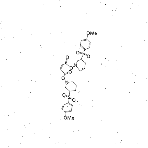 COc1ccc(S(=O)(=O)C2CCCN(OC(=O)/C=C\C(=O)ON3CCCC(S(=O)(=O)c4ccc(OC)cc4)C3)C2)cc1